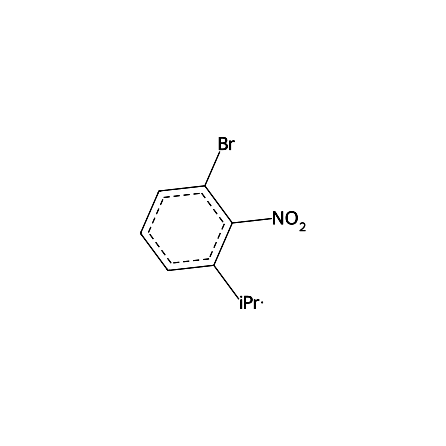 C[C](C)c1cccc(Br)c1[N+](=O)[O-]